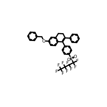 O=S(=O)(c1ccc(C2=C(c3ccccc3)CCc3cc(OCc4ccccc4)ccc32)cc1)C(F)(F)C(F)(F)C(F)(F)C(F)(F)F